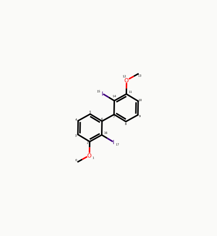 COc1cccc(-c2cccc(OC)c2I)c1I